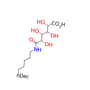 CCCCCCCCCCCCCCCNC(=O)C(O)C(O)C(O)C(O)C(=O)O